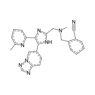 Cc1cccc(-c2nc(CN(C)Cc3ccccc3C#N)[nH]c2-c2ccc3ncnn3c2)n1